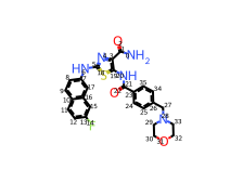 NC(=O)c1nc(Nc2ccc3ccc(F)cc3c2)sc1NC(=O)c1ccc(CN2CCOCC2)cc1